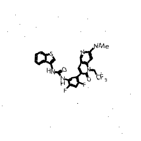 CNc1cc2c(cn1)cc(-c1cc(NC(=O)Nc3csc4ccccc34)c(F)cc1F)c(=O)n2CC(F)(F)F